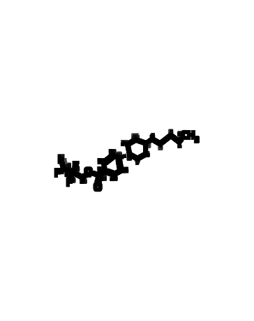 CCCCC[C@H]1CC[C@H](c2ccc(C(=O)OCC(F)(F)C(F)F)cc2)CC1